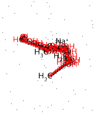 C=C/C=C/CC/C=C/C=C/C=C/CC/C=C/C(O)C(O)C1OC(C(O)C(O)C(=C)CCC(O)C2CC(O)C(O)C(C(O)C(O)/C=C(\C)CCC(O)CC(O)C(O)C(C)CC(O)C(O)C(C)CCC(O)CCCC(O)CCCC(O)CCCC(O)/C=C/CC(CO)OS(=O)(=O)[O-])O2)CC(O)C1O.[Na+]